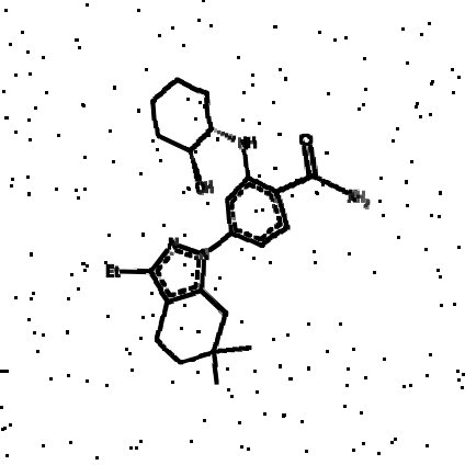 CCc1nn(-c2ccc(C(N)=O)c(N[C@H]3CCCC[C@@H]3O)c2)c2c1CCC(C)(C)C2